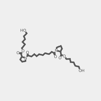 O=C(OCCCCCCO)C1CCCN1C(=O)CCCCCCCCC(=O)N1CCCC1C(=O)OCCCCCCO